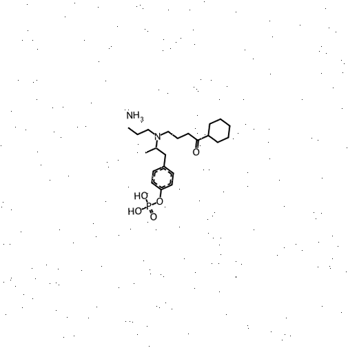 CCCN(CCCC(=O)C1CCCCC1)C(C)Cc1ccc(OP(=O)(O)O)cc1.N